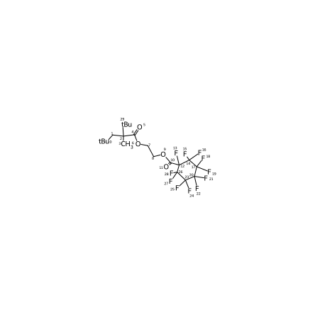 CC(C)(C)CC(C)(C(=O)OCCOC(=O)C1(F)C(F)(F)C(F)(F)C(F)(F)C(F)(F)C1(F)F)C(C)(C)C